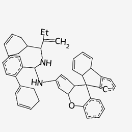 C=C(CC)C(NC(NC1=CC2Oc3ccccc3C3(c4ccccc4C4C=CC=CC43)C2C=C1)c1ccccc1C1=CC=CCC1)C1CC=CCC1